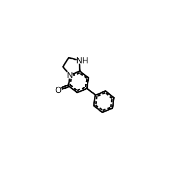 O=c1cc(-c2ccccc2)cc2n1CCN2